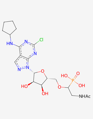 CC(=O)NCC(OC[C@H]1O[C@@H](n2ncc3c(NC4CCCC4)nc(Cl)nc32)[C@H](O)[C@@H]1O)P(=O)(O)O